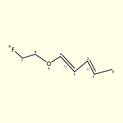 C/C=C/C=C/OCCF